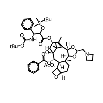 CC(=O)O[C@@]12CO[C@@H]1CC[C@@]1(C)[C@@H]3O[C@H](CN4CCC4)O[C@@H]3C3=C(C)[C@@H](OC(=O)[C@H](O[Si](C)(C)C(C)(C)C)[C@@H](NC(=O)OC(C)(C)C)c4ccccc4)C[C@@](O)([C@@H](OC(=O)c4ccccc4)[C@@H]12)C3(C)C